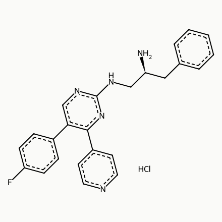 Cl.N[C@H](CNc1ncc(-c2ccc(F)cc2)c(-c2ccncc2)n1)Cc1ccccc1